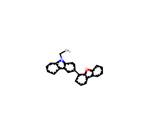 CCn1c2ccccc2c2cc(-c3cccc4c3oc3ccccc34)ccc21